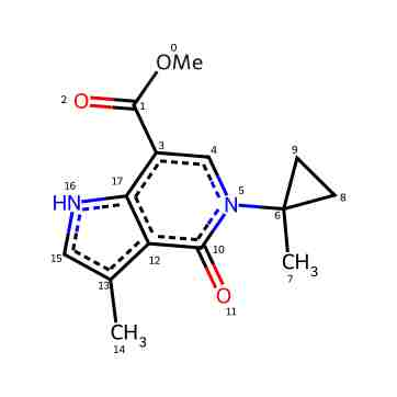 COC(=O)c1cn(C2(C)CC2)c(=O)c2c(C)c[nH]c12